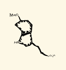 COc1ccc2c(CCC(=O)O)c[nH]c2c1